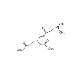 CCCCCCCCCCC(=O)OC[C@H](COC(=O)CCN(C)C)OC(=O)CCCCCCCCCC